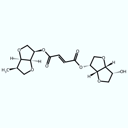 C[C@@H]1CO[C@H]2[C@@H]1OC[C@H]2OC(=O)/C=C/C(=O)O[C@@H]1CO[C@H]2[C@@H]1OC[C@H]2O